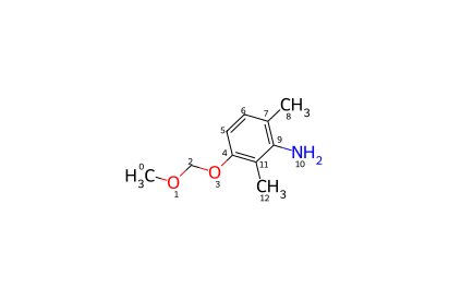 COCOc1ccc(C)c(N)c1C